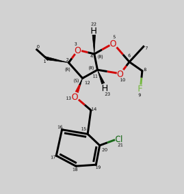 CC[C@H]1O[C@@H]2OC(C)(CF)O[C@@H]2[C@H]1OCc1ccccc1Cl